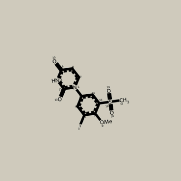 COc1c(I)cc(-n2ccc(=O)[nH]c2=O)cc1S(C)(=O)=O